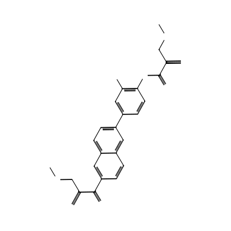 C=C(COC)C(=O)Oc1ccc(-c2ccc3cc(C(=O)C(=C)COC)ccc3c2)cc1F